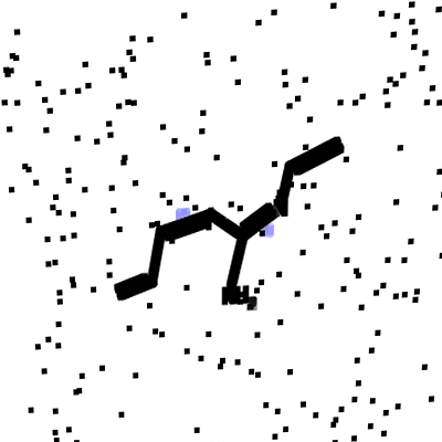 C=C/C=C\C(N)=N/C=C